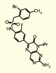 Cc1ccc(CS(=O)(=O)Nc2ccc(-c3nc4cnc(N)nc4n(C(C)C)c3=O)cc2F)c(Br)c1